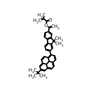 C=C(C)C(=O)OC(=C)c1ccc2c(c1)C(C)(C)c1cc(C3=C4C=CC5=CC(C(C)(C)C)=CC6=CC=C(C=C3)C4C65)ccc1-2